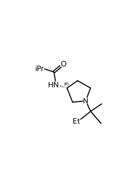 CCC(C)(C)N1CC[C@@H](NC(=O)C(C)C)C1